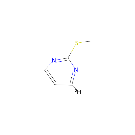 [2H]c1ccnc(SC)n1